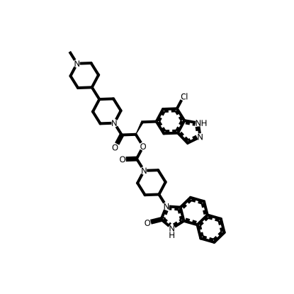 CN1CCC(C2CCN(C(=O)[C@@H](Cc3cc(Cl)c4[nH]ncc4c3)OC(=O)N3CCC(n4c(=O)[nH]c5c6ccccc6ccc54)CC3)CC2)CC1